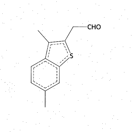 Cc1ccc2c(C)c(CC=O)sc2c1